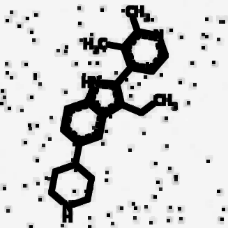 CCc1c(-c2ccnc(C)c2C)[nH]c2ccc(C3CCNCC3)cc12